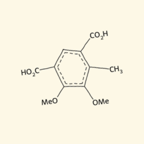 COc1c(C(=O)O)cc(C(=O)O)c(C)c1OC